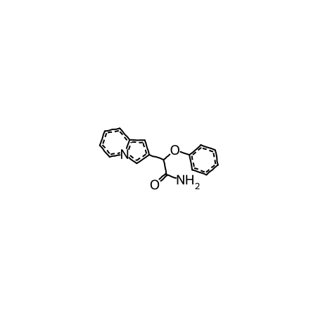 NC(=O)C(Oc1ccccc1)c1cc2ccccn2c1